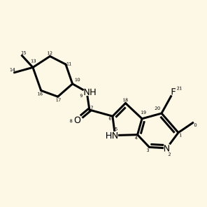 Cc1ncc2[nH]c(C(=O)NC3CCC(C)(C)CC3)cc2c1F